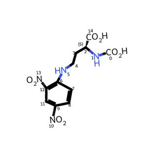 O=C(O)N[C@@H](CCNc1ccc([N+](=O)[O-])cc1[N+](=O)[O-])C(=O)O